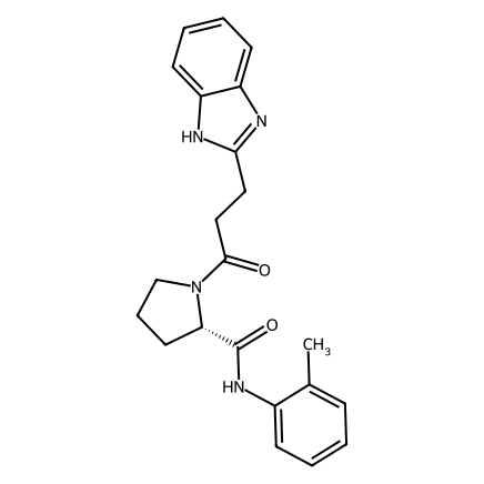 Cc1ccccc1NC(=O)[C@@H]1CCCN1C(=O)CCc1nc2ccccc2[nH]1